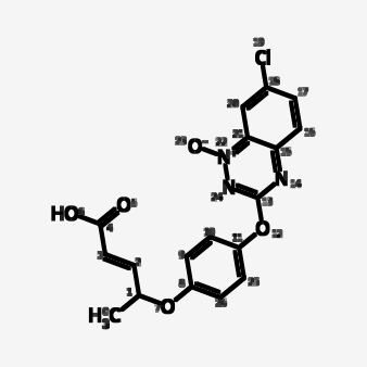 CC(C=CC(=O)O)Oc1ccc(Oc2nc3ccc(Cl)cc3[n+]([O-])n2)cc1